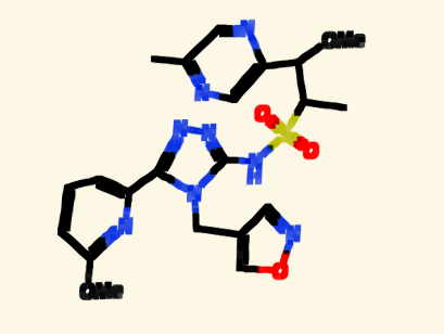 COc1cccc(-c2nnc(NS(=O)(=O)C(C)C(OC)c3cnc(C)cn3)n2Cc2cnoc2)n1